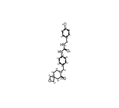 O=C(NCc1ccc(Cl)cc1)Nc1ccc(CN2CCC3(COC3)CC2=O)cc1